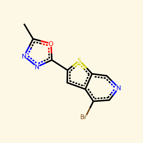 Cc1nnc(-c2cc3c(Br)cncc3s2)o1